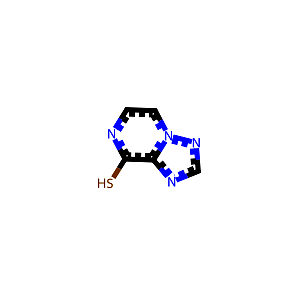 Sc1nccn2ncnc12